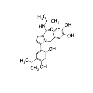 CC(C)NC(=O)c1ccc(-c2cc(C(C)C)c(O)cc2O)n1Cc1ccc(O)c(O)c1